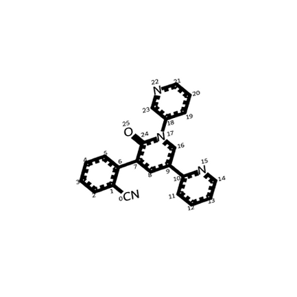 N#Cc1ccccc1-c1cc(-c2ccccn2)cn(-c2cccnc2)c1=O